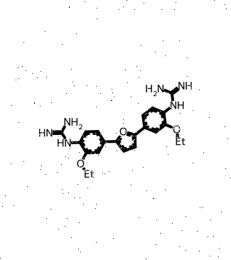 CCOc1cc(-c2ccc(-c3ccc(NC(=N)N)c(OCC)c3)o2)ccc1NC(=N)N